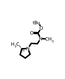 C[C@H]1CCCN1CCN(C)C(=O)OC(C)(C)C